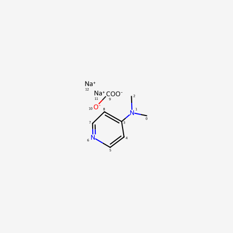 CN(C)c1ccncc1.O=C([O-])[O-].[Na+].[Na+]